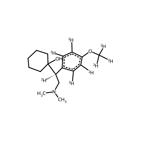 [2H]c1c([2H])c([C@@]([2H])(CN(C)C)C2(O)CCCCC2)c([2H])c([2H])c1OC([2H])([2H])[2H]